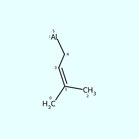 CC(C)=C[CH2][Al]